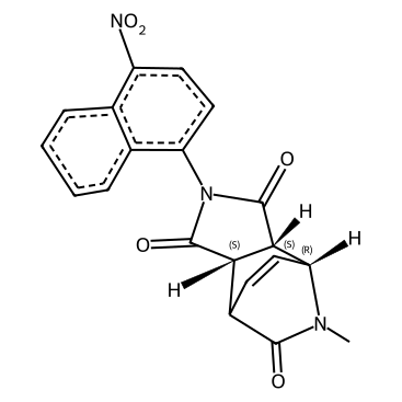 CN1C(=O)C2C=C[C@@H]1[C@H]1C(=O)N(c3ccc([N+](=O)[O-])c4ccccc34)C(=O)[C@@H]21